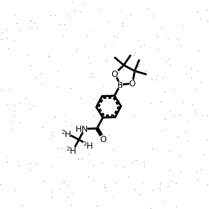 [2H]C([2H])([2H])NC(=O)c1ccc(B2OC(C)(C)C(C)(C)O2)cc1